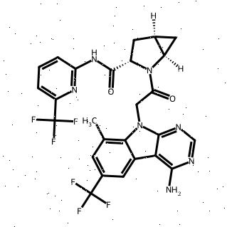 Cc1cc(C(F)(F)F)cc2c3c(N)ncnc3n(CC(=O)N3[C@@H]4C[C@@H]4C[C@H]3C(=O)Nc3cccc(C(F)(F)F)n3)c12